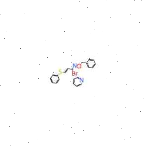 BrC(C=CSc1ccccc1)=NOCc1ccccc1.c1ccncc1